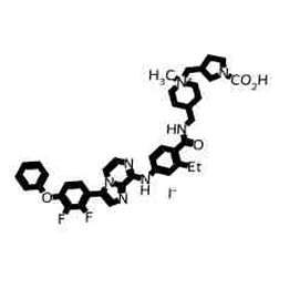 CCc1cc(Nc2nccn3c(-c4ccc(Oc5ccccc5)c(F)c4F)cnc23)ccc1C(=O)NCC1CC[N+](C)(CC2CCN(C(=O)O)C2)CC1.[I-]